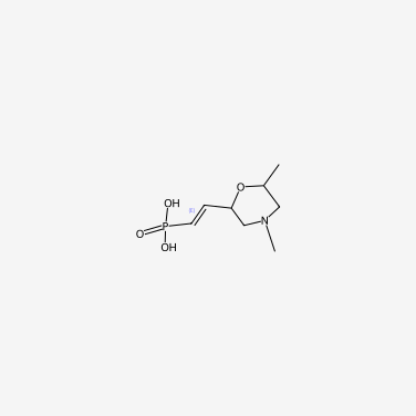 CC1CN(C)CC(/C=C/P(=O)(O)O)O1